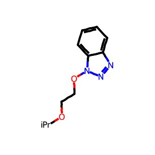 CC(C)OCCOn1nnc2ccccc21